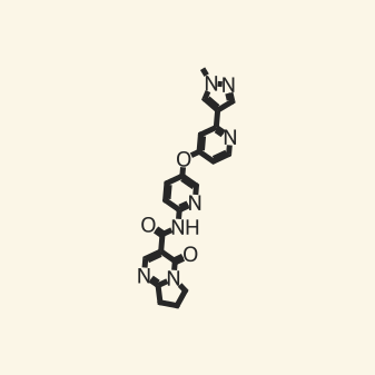 Cn1cc(-c2cc(Oc3ccc(NC(=O)c4cnc5n(c4=O)CCC5)nc3)ccn2)cn1